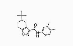 Cc1ccc(NC(=O)c2noc3c2CC(C(C)(C)C)CC3)cc1C